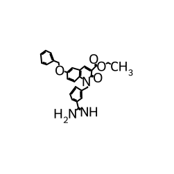 CCOC(=O)c1cc2cc(OCc3ccccc3)ccc2n(Cc2cccc(C(=N)N)c2)c1=O